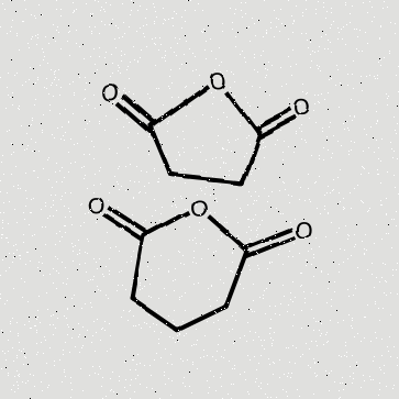 O=C1CCC(=O)O1.O=C1CCCC(=O)O1